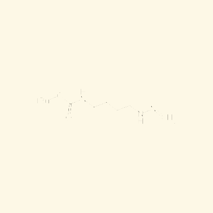 C=NNCCCCNC(=O)OC(C)(C)C